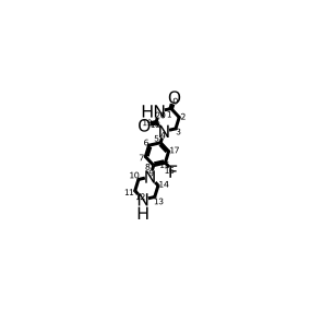 O=C1CCN(c2ccc(N3CCNCC3)c(F)c2)C(=O)N1